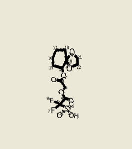 O=C(COC(=O)C(F)(F)S(=O)(=O)O)OC1CCCCC12OCCO2